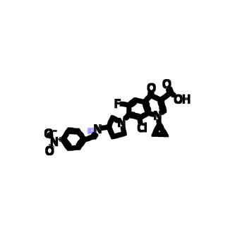 O=C(O)c1cn(C2CC2)c2c(Cl)c(N3CCC(/N=C/c4ccc([N+](=O)[O-])cc4)C3)c(F)cc2c1=O